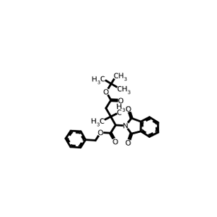 CC(C)(C)OC(=O)CC(C)(C)C(C(=O)OCc1ccccc1)N1C(=O)c2ccccc2C1=O